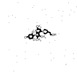 Cc1cc(N2CCC(CCO)CC2)c2c(C)c(C)n(-c3c(Cl)cc(Cl)cc3Cl)c2n1